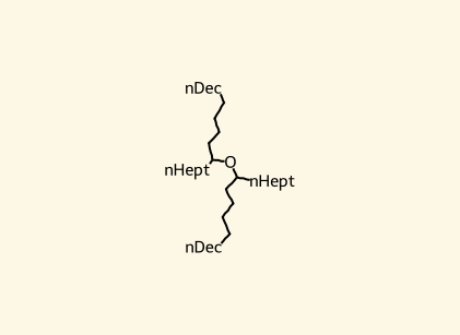 CCCCCCCCCCCCCCC(CCCCCCC)OC(CCCCCCC)CCCCCCCCCCCCCC